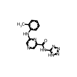 Cc1ccccc1Nc1cncc(C(=O)Nc2nnn[nH]2)n1